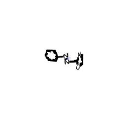 c1ccc(/N=N/c2ncco2)cc1